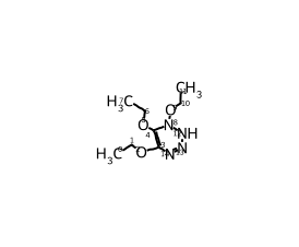 CCOC1=C(OCC)N(OCC)NN=N1